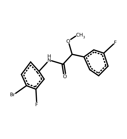 COC(C(=O)Nc1ccc(Br)c(F)c1)c1cccc(F)c1